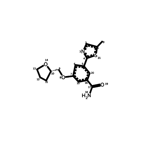 Cc1cnc(-c2cc(OC[C@@H]3CCCO3)cc(C(N)=O)c2)s1